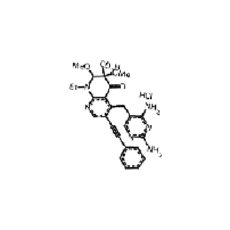 CCN1c2ncc(C#Cc3ccccc3)c(Cc3cnc(N)nc3N)c2C(=O)C(OC)(C(=O)O)C1OC.Cl